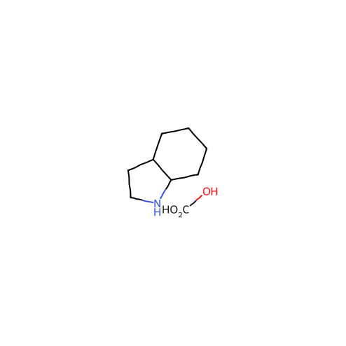 C1CCC2NCCC2C1.O=C(O)O